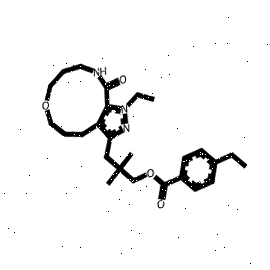 CCc1ccc(C(=O)OCC(C)(C)Cc2nn(CC)c3c2CCCOCCCNC3=O)cc1